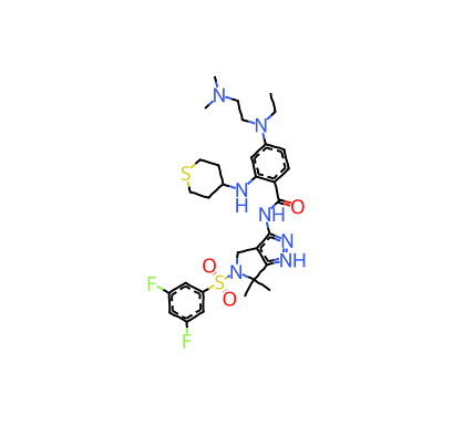 CCN(CCN(C)C)c1ccc(C(=O)Nc2n[nH]c3c2CN(S(=O)(=O)c2cc(F)cc(F)c2)C3(C)C)c(NC2CCSCC2)c1